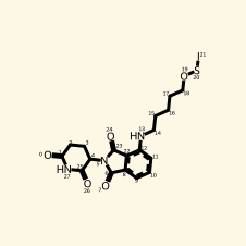 O=C1CCC(N2C(=O)c3cccc(NCCCCCOSI)c3C2=O)C(=O)N1